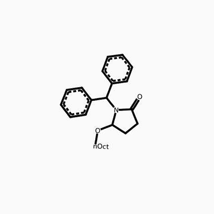 CCCCCCCCOC1CCC(=O)N1C(c1ccccc1)c1ccccc1